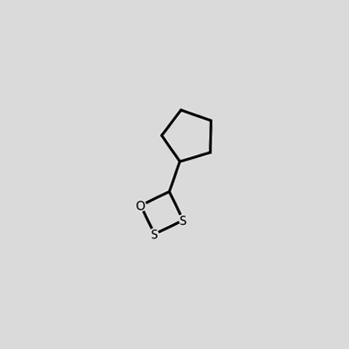 C1CCC(C2OSS2)C1